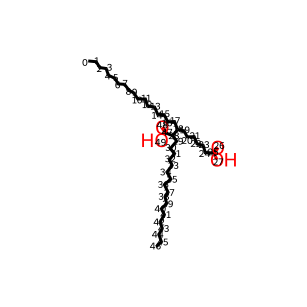 CCCCCCCCCCCCCCCCCCC(CCCCCCC(=O)O)C(CCCCCCCCCCCCCCCCCC)C(=O)O